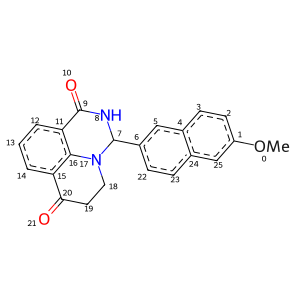 COc1ccc2cc(C3NC(=O)c4cccc5c4N3CCC5=O)ccc2c1